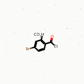 CCC(=O)c1ccc(Br)cc1C(=O)O